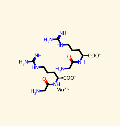 N=C(N)NCCC[C@H](NC(=O)CN)C(=O)[O-].N=C(N)NCCC[C@H](NC(=O)CN)C(=O)[O-].[Mn+2]